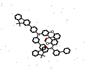 CC1(C)c2ccccc2-c2ccc(-c3ccc(N(c4cccc(-c5ccccc5)c4)c4ccc5c(c4)C4(c6ccccc6O5)c5ccccc5Oc5c(N(c6cccc(-c7ccccc7)c6)c6ccc7c(c6)C(C)(C)c6ccccc6-7)cccc54)cc3)cc21